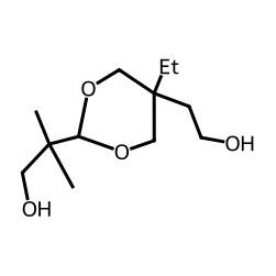 CCC1(CCO)COC(C(C)(C)CO)OC1